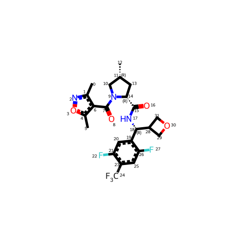 Cc1noc(C)c1C(=O)N1C[C@H](C)C[C@@H]1C(=O)N[C@@H](c1cc(F)c(C(F)(F)F)cc1F)C1COC1